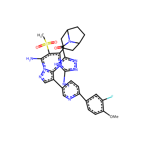 COc1ccc(-c2ccc(-c3cnn4c(N)c(S(C)(=O)=O)c(C5CC6CCC(C5)N6C(=O)c5nnc(N)[nH]5)nc34)cn2)cc1F